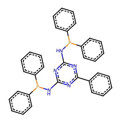 c1ccc(-c2nc(NP(c3ccccc3)c3ccccc3)nc(NP(c3ccccc3)c3ccccc3)n2)cc1